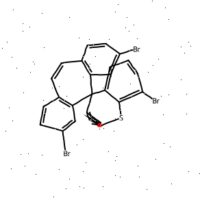 Brc1ccc2c(c1)C1(c3cc(Br)ccc3C=C2)c2ccccc2Sc2c(Br)cccc21